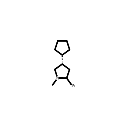 CC(C)C1C[C@@H](C2CCCC2)CN1C